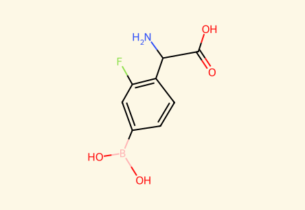 NC(C(=O)O)c1ccc(B(O)O)cc1F